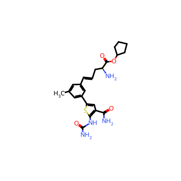 Cc1cc(/C=C/C[C@H](N)C(=O)OC2CCCC2)cc(-c2cc(C(N)=O)c(NC(N)=O)s2)c1